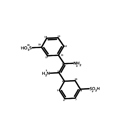 NC(=C(N)C1C=CC=C(S(=O)(=O)O)C1)c1cccc(S(=O)(=O)O)c1